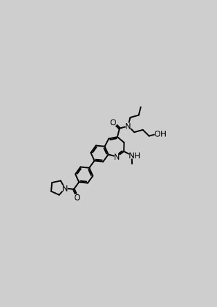 CCCN(CCCO)C(=O)C1=Cc2ccc(-c3ccc(C(=O)N4CCCC4)cc3)cc2N=C(NC)C1